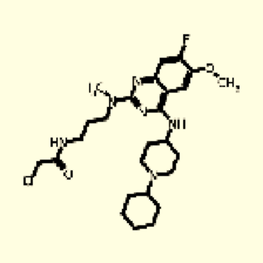 COc1cc2c(NC3CCN(C4CCCCC4)CC3)nc(N(C)CCCNC(=O)CCl)nc2cc1F